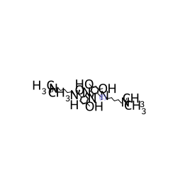 CN(C)CCCCC/N=C/c1c(O)cc(O)c2nc3c(C(=O)NCCCCCN(C)C)ccc(O)c3nc12